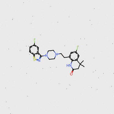 CC1(C)CC(=O)Nc2c(CCN3CCN(c4nsc5ccc(F)cc45)CC3)cc(F)cc21